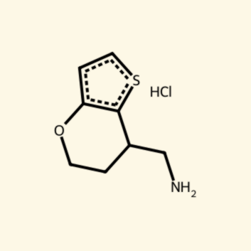 Cl.NCC1CCOc2ccsc21